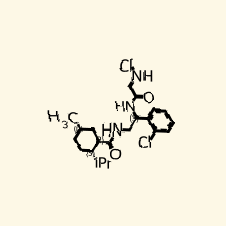 CC(C)[C@@H]1CC[C@@H](C)C[C@H]1C(=O)NC[C@@H](NC(=O)CNCl)c1ccccc1Cl